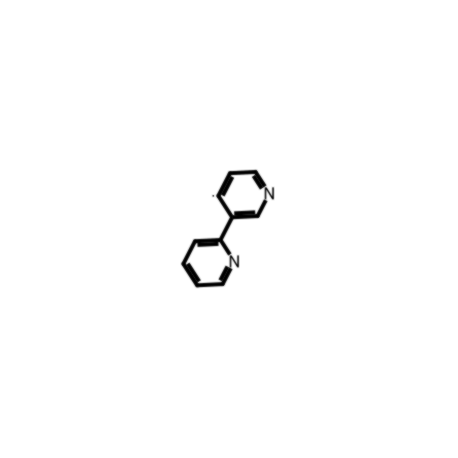 [c]1ccncc1-c1ccccn1